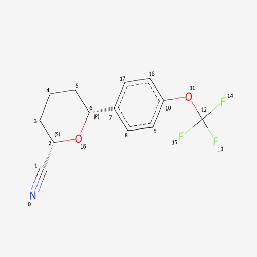 N#C[C@@H]1CCC[C@H](c2ccc(OC(F)(F)F)cc2)O1